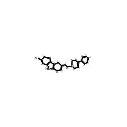 Brc1ccc2c3c([nH]c2c1)CCC(CCN1CC=C(c2ccccc2)CC1)C3